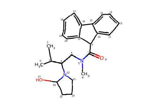 CC(C)C(CN(C)C(=O)C1c2ccccc2-c2ccccc21)N1CCCC1O